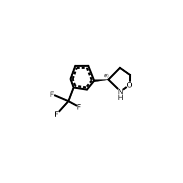 FC(F)(F)c1cccc([C@H]2CCON2)c1